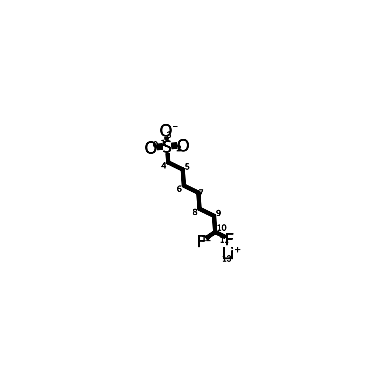 O=S(=O)([O-])CCCCCCC(F)F.[Li+]